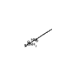 CCCCCC=CCC=CCCCCCCCC(=O)NCCCC[C@H](N)C(=O)OCC[Si](C)(C)C